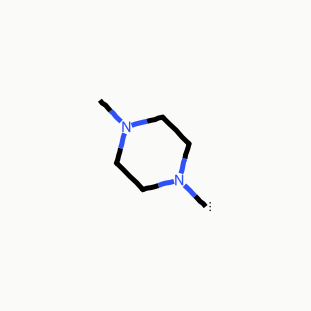 [C]N1CCN(C)CC1